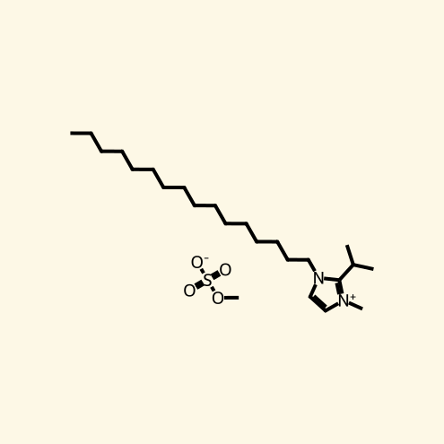 CCCCCCCCCCCCCCCCn1cc[n+](C)c1C(C)C.COS(=O)(=O)[O-]